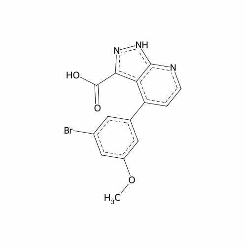 COc1cc(Br)cc(-c2ccnc3[nH]nc(C(=O)O)c23)c1